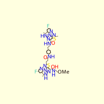 COCCNC(O)c1nc(NC(C)c2cncc(F)c2)nc2nc(CCC(=O)Nc3ccc(CCNC(=O)c4nc(NC(C)c5cncc(F)c5)nc5nc(C)sc45)cc3)sc12